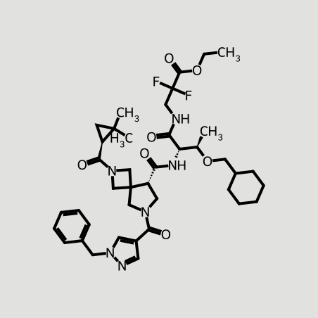 CCOC(=O)C(F)(F)CNC(=O)[C@@H](NC(=O)[C@@H]1CN(C(=O)c2cnn(Cc3ccccc3)c2)CC12CN(C(=O)[C@H]1CC1(C)C)C2)[C@@H](C)OCC1CCCCC1